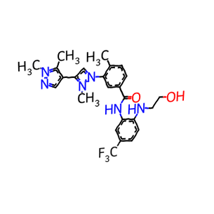 Cc1ccc(C(=O)Nc2cc(C(F)(F)F)ccc2NCCO)cc1-n1cc(-c2cnn(C)c2C)n1C